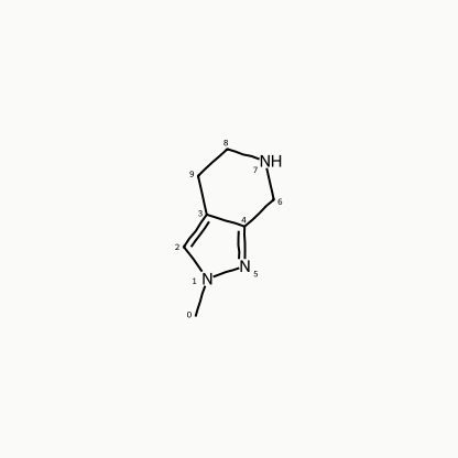 Cn1cc2c(n1)CNCC2